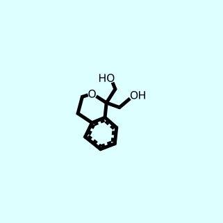 OCC1(CO)OCCc2ccccc21